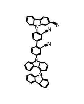 N#Cc1ccc2c3ccccc3n(-c3ccc(-c4ccc(-n5c6ccccc6c6c(-n7c8ccccc8c8ccccc87)cccc65)cc4C#N)cc3C#N)c2c1